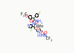 COC(=O)N(C(=O)[C@@H](N)[C@H](c1ccc(F)cc1)c1ccc(OC(F)(F)F)cc1)c1cncc(F)c1CC[C@@H]1CN[C@H](COC(=O)NCC(F)(F)F)CO1